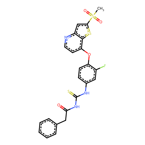 CS(=O)(=O)c1cc2nccc(Oc3ccc(NC(=S)NC(=O)Cc4ccccc4)cc3F)c2s1